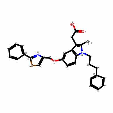 Cc1c(CC(=O)O)c2cc(OCc3csc(-c4ccccc4)n3)ccc2n1CCCc1ccccc1